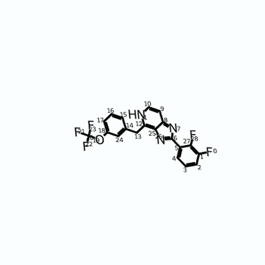 Fc1cccc(-c2nc3cc[nH]c(Cc4cccc(OC(F)(F)F)c4)c-3n2)c1F